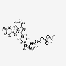 CC(C)OC(=O)OCOc1ccnc(N(C)C2CCN(c3nc4ccccc4n3Cc3ccc(F)cc3)CC2)n1